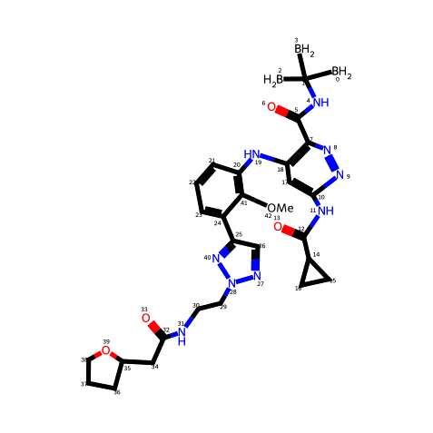 BC(B)(B)NC(=O)c1nnc(NC(=O)C2CC2)cc1Nc1cccc(-c2cnn(CCNC(=O)CC3CCCO3)n2)c1OC